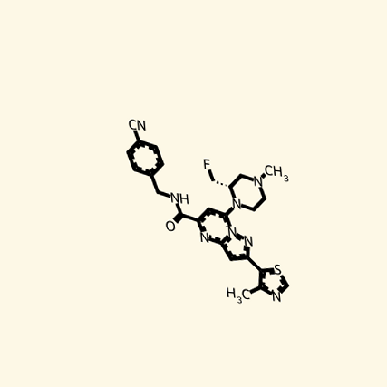 Cc1ncsc1-c1cc2nc(C(=O)NCc3ccc(C#N)cc3)cc(N3CCN(C)C[C@H]3CF)n2n1